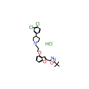 CC(C)(C)c1nnc(-c2cc3c(OCCCN4CCC(c5ccc(Cl)c(Cl)c5)CC4)cccc3o2)o1.Cl